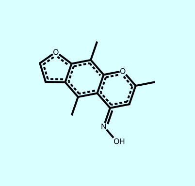 Cc1c/c(=N\O)c2c(C)c3ccoc3c(C)c2o1